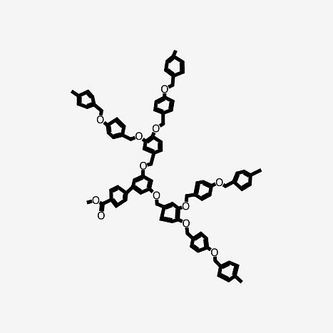 COC(=O)c1ccc(-c2cc(OCc3ccc(OCc4ccc(OCc5ccc(C)cc5)cc4)c(OCc4ccc(OCc5ccc(C)cc5)cc4)c3)cc(OCc3ccc(OCc4ccc(OCc5ccc(C)cc5)cc4)c(OCc4ccc(OCc5ccc(C)cc5)cc4)c3)c2)cc1